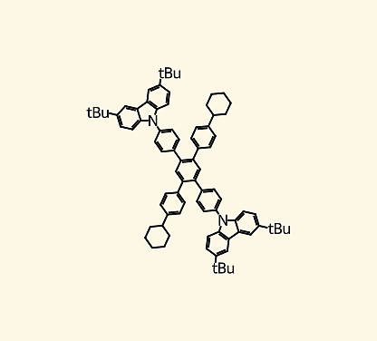 CC(C)(C)c1ccc2c(c1)c1cc(C(C)(C)C)ccc1n2-c1ccc(-c2cc(-c3ccc(C4CCCCC4)cc3)c(-c3ccc(-n4c5ccc(C(C)(C)C)cc5c5cc(C(C)(C)C)ccc54)cc3)cc2-c2ccc(C3CCCCC3)cc2)cc1